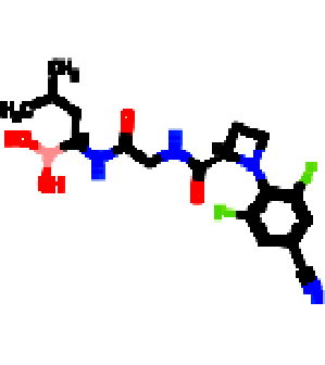 CC(C)C[C@@H](NC(=O)CNC(=O)[C@@H]1CCN1c1c(F)cc(C#N)cc1F)B(O)O